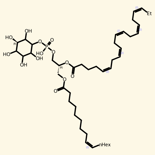 CC/C=C\C/C=C\C/C=C\C/C=C\C/C=C\CCCC(=O)O[C@H](COC(=O)CCCCCCC/C=C\CCCCCC)COP(=O)(O)OC1C(O)C(O)C(O)[C@@H](O)C1O